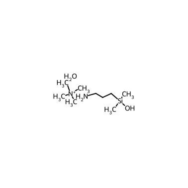 C[N+](C)(C)C.C[Si](C)(O)CCCN.O